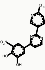 O=[N+]([O-])c1cc(-c2ccnc(-c3ccc(C(F)(F)F)nc3)n2)cc(O)c1O